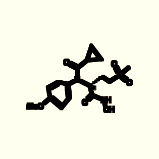 COc1ccc(N(C(=O)C2CC2)[C@H](CCS(C)(=O)=O)C(=O)NO)cc1